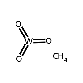 C.[O]=[W](=[O])=[O]